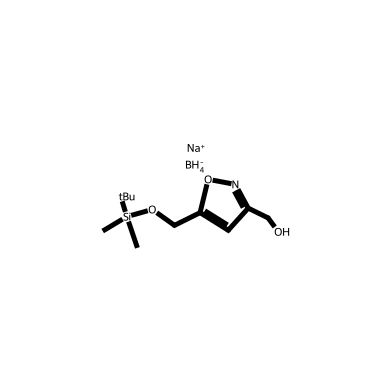 CC(C)(C)[Si](C)(C)OCc1cc(CO)no1.[BH4-].[Na+]